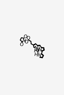 O=C(CCC1=CC2=Cc3ccc(-c4ccc[nH]4)n3[B-](F)(F)[N+]2=C1)ON1C(=O)CCC1=O